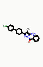 N#Cc1c(C2CCC(c3ccc(Cl)cc3)CC2)nn2c(=O)c3ccccc3[nH]c12